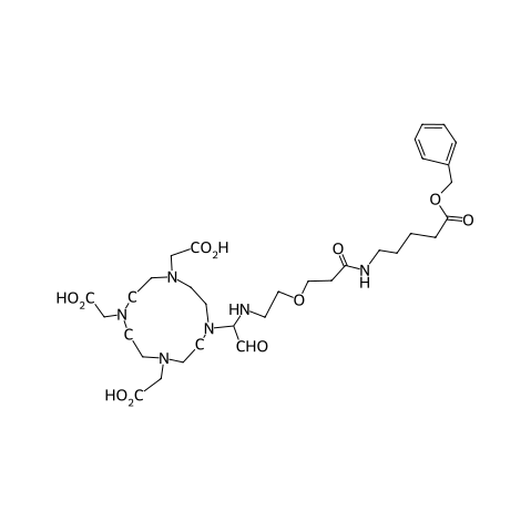 O=CC(NCCOCCC(=O)NCCCCC(=O)OCc1ccccc1)N1CCN(CC(=O)O)CCN(CC(=O)O)CCN(CC(=O)O)CC1